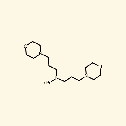 CCCN(CCCN1CCOCC1)CCCN1CCOCC1